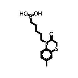 Cc1ccc2c(c1)SCC(=O)N2CCCCCB(O)O